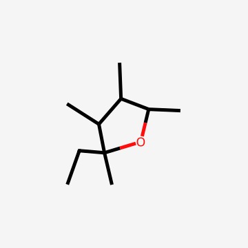 CCC1(C)OC(C)C(C)C1C